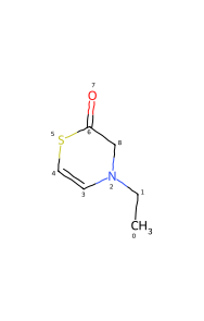 CCN1C=CSC(=O)C1